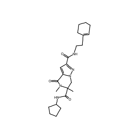 CN1C(=O)c2cc(C(=O)NCCC3=CCCCC3)nn2CC1(C)C(=O)NC1CCCC1